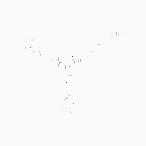 CNC(=O)CCOCCOCCNC(=O)CN(CC(=O)NCCO[C@@H]1O[C@@H](C)[C@@H](O)[C@@H](O)[C@@H]1O)CC(=O)NCCO[C@@H]1O[C@@H](C)[C@@H](O)[C@@H](O)[C@@H]1O